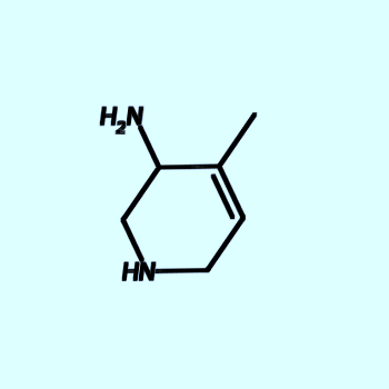 CC1=CCNCC1N